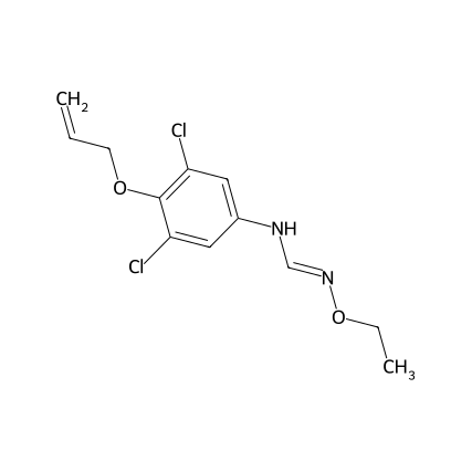 C=CCOc1c(Cl)cc(N/C=N/OCC)cc1Cl